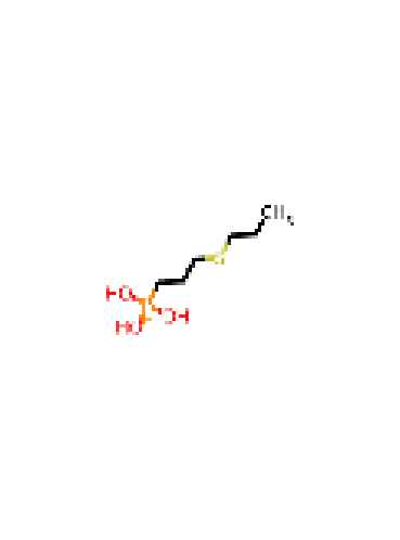 CCCSCCC[PH](O)(O)O